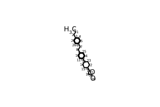 CCCc1ccc(CCc2ccc(C3CCC(C4CC(=O)O4)CC3)cc2)cc1